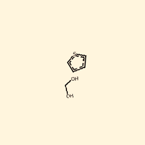 OCO.c1ccsc1